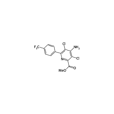 COC(=O)c1nc(-c2ccc(C(F)(F)F)cc2)c(Cl)c(N)c1Cl